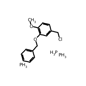 COc1ccc(CCl)cc1OCc1ccccc1.P.P.P